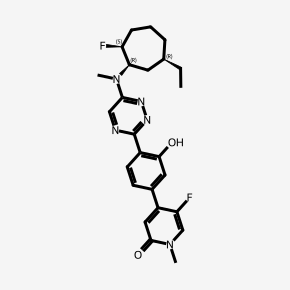 CC[C@@H]1CCC[C@H](F)[C@H](N(C)c2cnc(-c3ccc(-c4cc(=O)n(C)cc4F)cc3O)nn2)C1